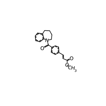 COC(=O)/C=C/c1ccc(C(=O)N2CCCCc3ccccc32)cc1